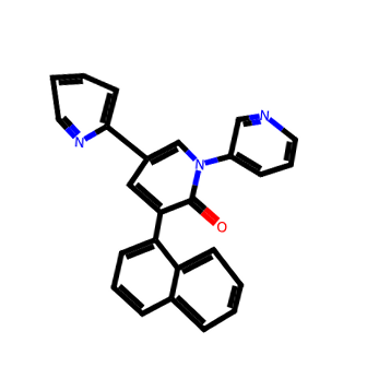 O=c1c(-c2cccc3ccccc23)cc(-c2ccccn2)cn1-c1cccnc1